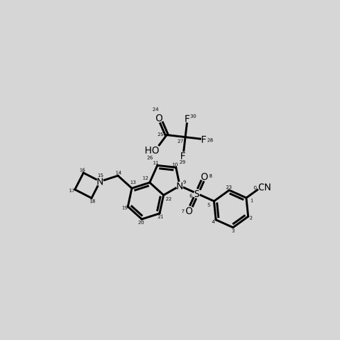 N#Cc1cccc(S(=O)(=O)n2ccc3c(CN4CCC4)cccc32)c1.O=C(O)C(F)(F)F